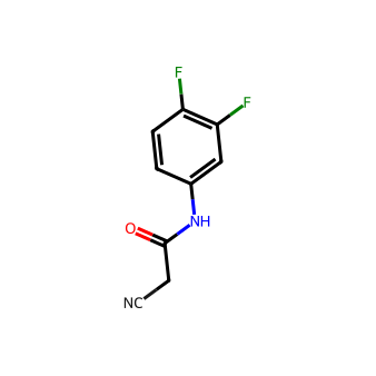 N#CCC(=O)Nc1ccc(F)c(F)c1